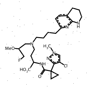 COC(CF)CN(CCCCc1ccc2c(n1)NCCC2)CCC(NC(=O)C1(c2nn(C)cc2Cl)CC1)C(=O)O